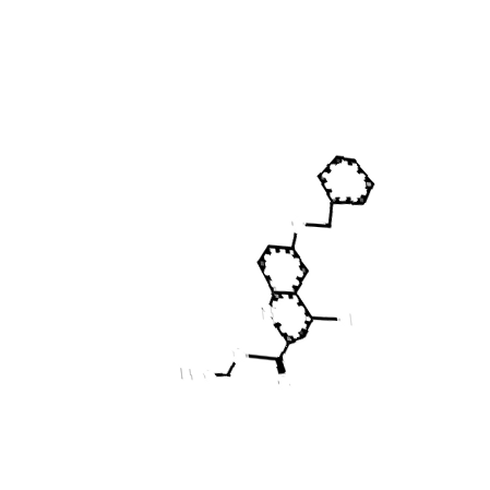 CCOC(=O)c1cc(Cl)c2cc(OCc3ccccc3)ccc2n1